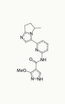 COc1n[nH]cc1C(=O)Nc1cccc(-c2cnc3n2C(C)CC3)n1